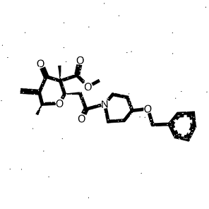 C=C1C(=O)[C@](C)(C(=O)OC)[C@@H](CC(=O)N2CCC(OCc3ccccc3)CC2)O[C@H]1C